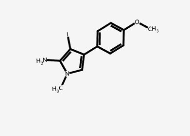 COc1ccc(-c2cn(C)c(N)c2I)cc1